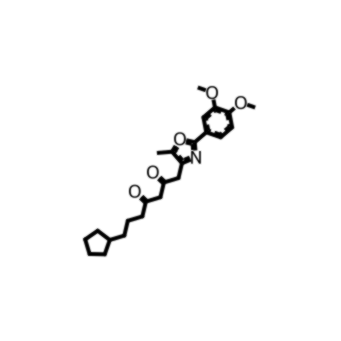 COc1ccc(-c2nc(CC(=O)CC(=O)CCCC3CCCC3)c(C)o2)cc1OC